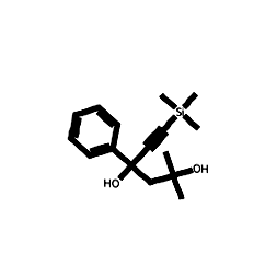 CC(C)(O)CC(O)(C#C[Si](C)(C)C)c1ccccc1